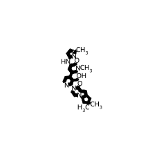 Cn1ccc(Nc2cc(-c3ccnc(-n4ccn5c6c(cc5c4=O)CC(C)(C)C6)c3CO)cn(C)c2=O)n1